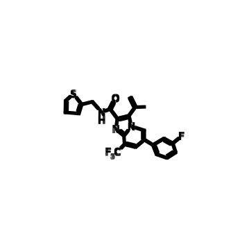 C=C(C)c1c(C(=O)NCc2cccs2)nc2c(C(F)(F)F)cc(-c3cccc(F)c3)cn12